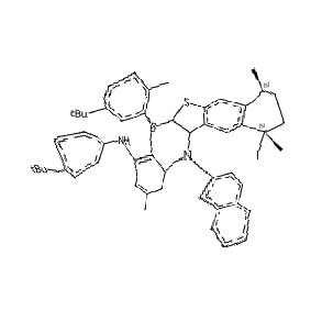 CC1=CC(Nc2ccc(C(C)(C)C)cc2)=C2B(c3cc(C(C)(C)C)ccc3C)C3Sc4cc5c(cc4C3N(c3ccc4ccccc4c3)C2C1)[C@@](C)(I)CC[C@@H]5C